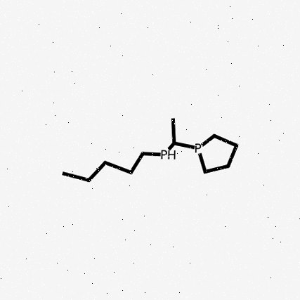 CCCCCPC(C)P1CCCC1